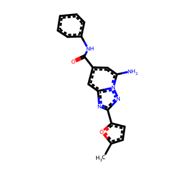 Cc1ccc(-c2nc3cc(C(=O)Nc4ccccc4)cc(N)n3n2)o1